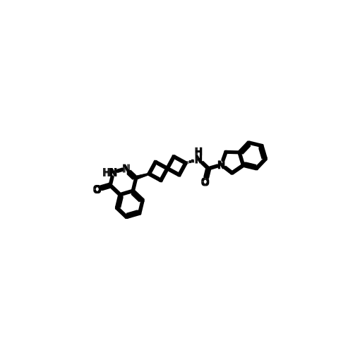 O=C(N[C@H]1CC2(C1)C[C@H](c1n[nH]c(=O)c3ccccc31)C2)N1Cc2ccccc2C1